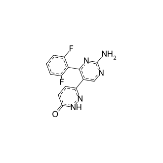 Nc1ncc(-c2ccc(=O)[nH]n2)c(-c2c(F)cccc2F)n1